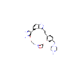 CN1CCN(Cc2ccc3c(c2)O[C@@H]2CCN(CCOc4c(cnn4C)-c4ccc5[nH]nc(c5c4)/C=C/3)C2=O)CC1